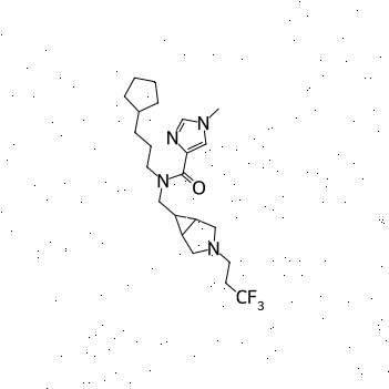 Cn1cnc(C(=O)N(CCCC2CCCC2)CC2C3CN(CCC(F)(F)F)CC32)c1